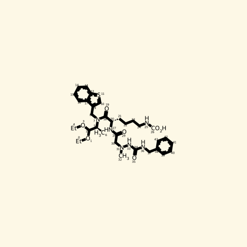 CCOC(OCC)[C@H](C)N(Cc1csc2ccccc12)C(=O)[C@H](CCCCNC(=O)O)NC(=O)CN(C)NC(=O)NCc1ccccc1